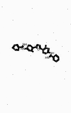 Cc1cc(NC(=N)c2ccccc2)ccc1-c1ccc(-c2ccc(NC(=N)c3ccccc3)cc2C)o1